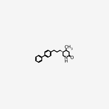 CC1CC(=O)NC[C@H]1CCCc1ccc(-c2ccccc2)cc1